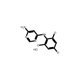 Cl.Nc1cc(Nc2c(Cl)cc(Cl)cc2Cl)ncn1